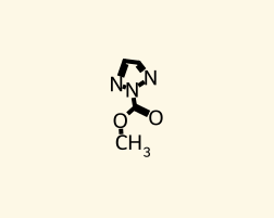 COC(=O)n1nccn1